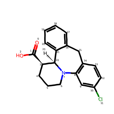 O=C(O)[C@@H]1CCCN2c3cc(Cl)ccc3Cc3ccccc3[C@H]12